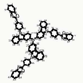 c1ccc2oc(-c3ccc(-n4c5ccccc5c5cc(N(c6ccc7c(c6)c6ccccc6n7-c6ccc(-c7nc8ccccc8o7)cc6)c6ccc7c(c6)c6ccccc6n7-c6ccc(-c7nc8ccccc8o7)cc6)ccc54)cc3)nc2c1